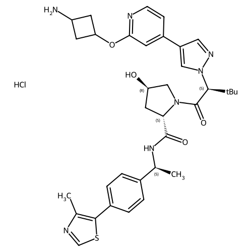 Cc1ncsc1-c1ccc([C@H](C)NC(=O)[C@@H]2C[C@@H](O)CN2C(=O)[C@@H](n2cc(-c3ccnc(OC4CC(N)C4)c3)cn2)C(C)(C)C)cc1.Cl